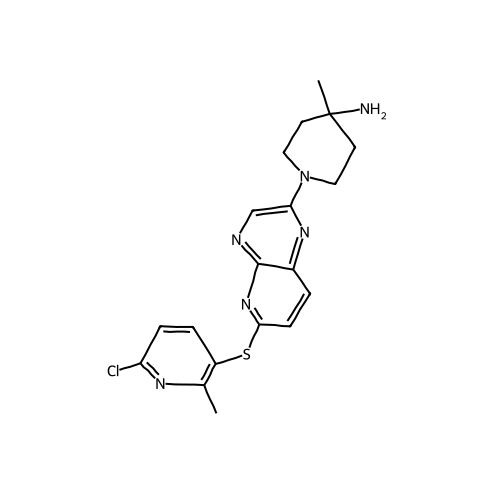 Cc1nc(Cl)ccc1Sc1ccc2nc(N3CCC(C)(N)CC3)cnc2n1